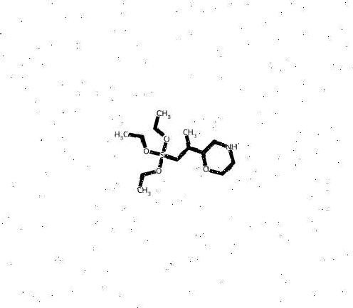 CCO[Si](CC(C)C1CNCCO1)(OCC)OCC